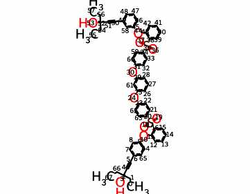 CCC(O)(C#Cc1ccc(Oc2ccccc2S(=O)(=O)c2ccc(Oc3cccc(Oc4ccc(S(=O)(=O)c5ccccc5Oc5cccc(C#CC(O)(CC)CC)c5)cc4)c3)cc2)cc1)CC